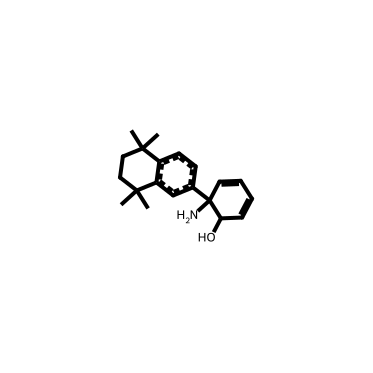 CC1(C)CCC(C)(C)c2cc(C3(N)C=CC=CC3O)ccc21